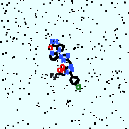 NC(=O)[C@H]1CCCN1c1ncccc1-n1cnc(Cn2nc(-c3ccc(Cl)cc3)n(CC(O)C(F)(F)F)c2=O)n1